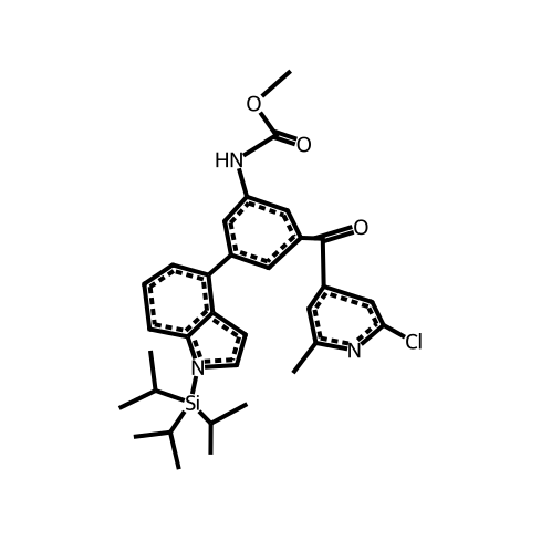 COC(=O)Nc1cc(C(=O)c2cc(C)nc(Cl)c2)cc(-c2cccc3c2ccn3[Si](C(C)C)(C(C)C)C(C)C)c1